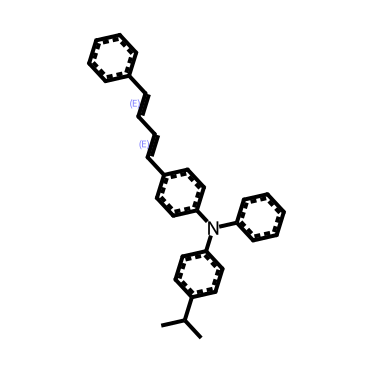 CC(C)c1ccc(N(c2ccccc2)c2ccc(/C=C/C=C/c3ccccc3)cc2)cc1